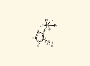 F[P-](F)(F)(F)(F)F.Nc1cccs1.[H+]